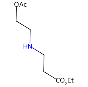 CCOC(=O)CCNCCOC(C)=O